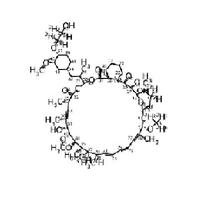 [2H]C([2H])([2H])O[C@H]1C[C@@H]2CC([2H])([2H])[C@@H](C)[C@@](O)(O2)C(=O)C(=O)N2CCCC[C@H]2C(=O)O[C@H]([C@H](C)C[C@@H]2CC[C@@H](OC([2H])([2H])C([2H])([2H])O)[C@H](OC)C2)CC(=O)[C@H](C)/C=C(\C)[C@@H](O)[C@@H](OC)C(=O)[C@H](C)C([2H])(C)[C@]([2H])(C)/C=C/C=C/C=C/1C